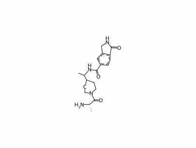 CC(NC(=O)c1ccc2c(c1)CNC2=O)C1CCN(C(=O)[C@H](C)N)CC1